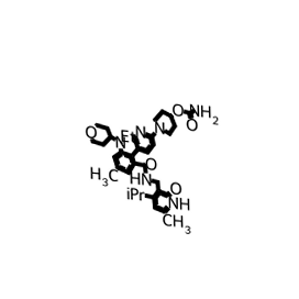 CCN(c1cc(C)cc(C(=O)NCc2c(C(C)C)cc(C)[nH]c2=O)c1-c1ccc(N2CCC(OC(N)=O)CC2)nc1)C1CCOCC1